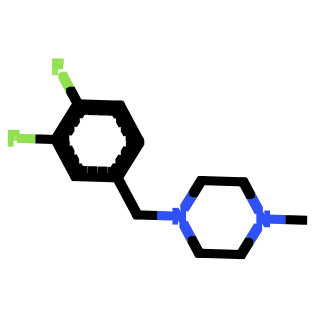 CN1CCN(Cc2ccc(F)c(F)c2)CC1